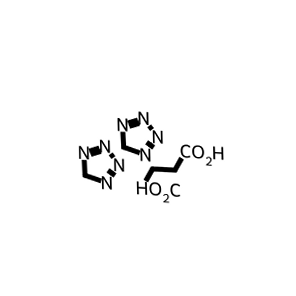 C1N=NN=N1.C1N=NN=N1.O=C(O)CCC(=O)O